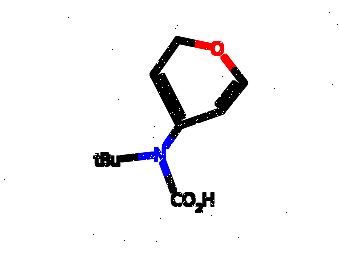 CC(C)(C)N(C(=O)O)C1=CCOC=C1